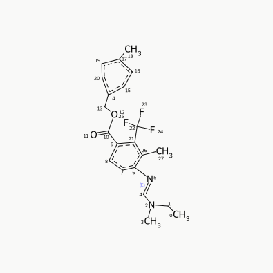 CCN(C)/C=N/c1ccc(C(=O)OCc2ccc(C)cc2)c(C(F)(F)F)c1C